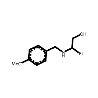 CCC(CO)NCc1ccc(OC)cc1